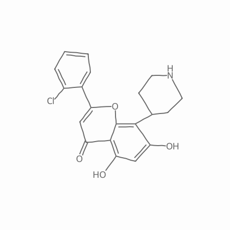 O=c1cc(-c2ccccc2Cl)oc2c(C3CCNCC3)c(O)cc(O)c12